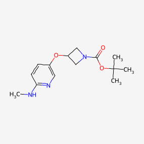 CNc1ccc(OC2CN(C(=O)OC(C)(C)C)C2)cn1